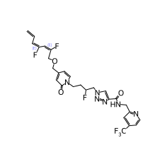 C=C/C=C(F)\C=C(\F)COCc1ccn(CCC(F)Cn2cc(C(=O)NCc3cc(C(F)(F)F)ccn3)nn2)c(=O)c1